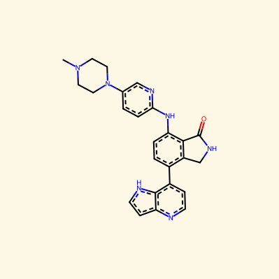 CN1CCN(c2ccc(Nc3ccc(-c4ccnc5cc[nH]c45)c4c3C(=O)NC4)nc2)CC1